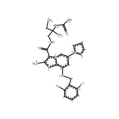 CCC(C)(CNC(=O)c1c(C)nc2c(OCc3c(F)cccc3F)cc(-n3cccn3)cn12)NC(=O)O